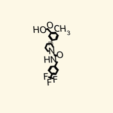 Cc1ccc([C@H]2CCCN(C(=O)NCc3ccc(C(F)(F)F)cc3)C2)cc1C(=O)O